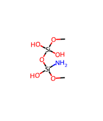 CO[Si](N)(O)O[Si](O)(O)OC